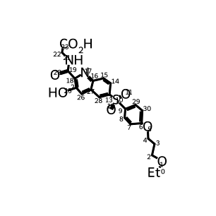 CCOCCCOc1ccc(S(=O)(=O)c2ccc3nc(C(=O)NCC(=O)O)c(O)cc3c2)cc1